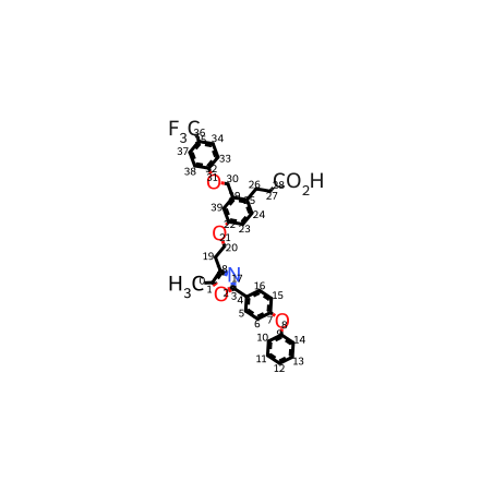 Cc1oc(-c2ccc(Oc3ccccc3)cc2)nc1CCOc1ccc(CCC(=O)O)c(COc2ccc(C(F)(F)F)cc2)c1